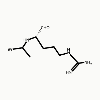 CC(C)C(C)N[C@H](C=O)CCCNC(=N)N